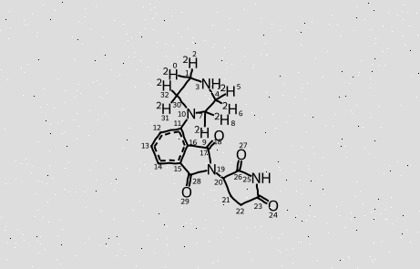 [2H]C1([2H])NC([2H])([2H])C([2H])([2H])N(c2cccc3c2C(=O)N(C2CCC(=O)NC2=O)C3=O)C1([2H])[2H]